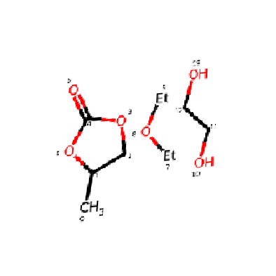 CC1COC(=O)O1.CCOCC.OCCO